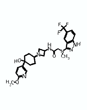 COc1ccc(C2(O)CCC(N3CC(NC(=O)CN(C)c4n[nH]c5ccc(C(F)(F)F)cc45)C3)CC2)cn1